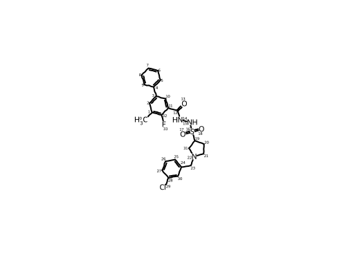 Cc1cc(-c2ccccc2)cc(C(=O)NNS(=O)(=O)C2CCN(Cc3cccc(Cl)c3)C2)c1F